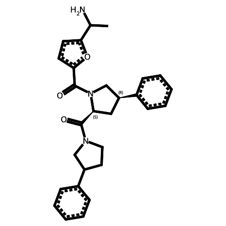 CC(N)c1ccc(C(=O)N2C[C@@H](c3ccccc3)C[C@H]2C(=O)N2CCC(c3ccccc3)C2)o1